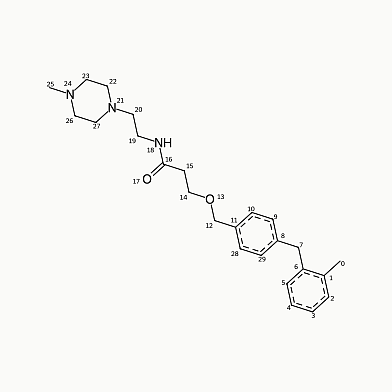 Cc1ccccc1Cc1ccc(COCCC(=O)NCCN2CCN(C)CC2)cc1